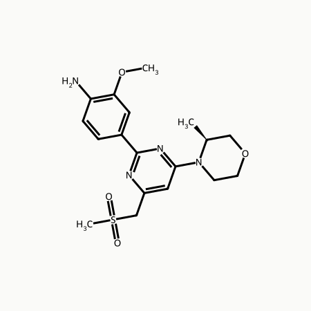 COc1cc(-c2nc(CS(C)(=O)=O)cc(N3CCOC[C@@H]3C)n2)ccc1N